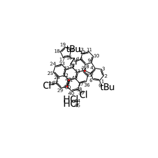 CC(C)(C)c1ccc2c(c1)Cc1c-2ccc(C(C)(C)C)[c]1[Zr]([C]1=CC=CC1)=[C](c1cccc2c(Cl)cccc12)c1cccc2c(Cl)cccc12.Cl.Cl